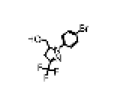 OCC1CC(C(F)(F)F)=NN1c1ccc(Br)cc1